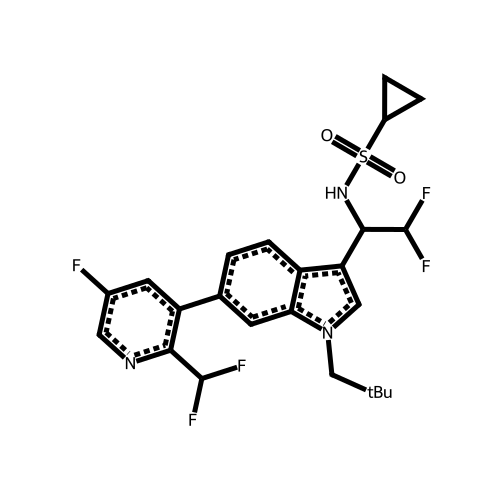 CC(C)(C)Cn1cc(C(NS(=O)(=O)C2CC2)C(F)F)c2ccc(-c3cc(F)cnc3C(F)F)cc21